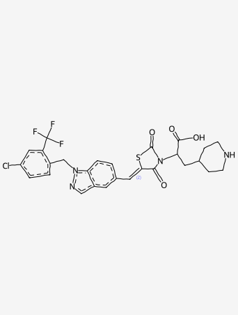 O=C(O)C(CC1CCNCC1)N1C(=O)S/C(=C\c2ccc3c(cnn3Cc3ccc(Cl)cc3C(F)(F)F)c2)C1=O